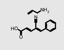 C=CCN.N#CC(C=CC(=O)O)=Cc1ccccc1